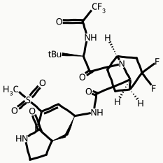 CC(C)(C)[C@@H](NC(=O)C(F)(F)F)C(=O)N1[C@H]2CC[C@@H]([C@H]1C(=O)N[C@H](/C=C(\F)S(C)(=O)=O)C[C@H]1CCNC1=O)C(F)(F)C2